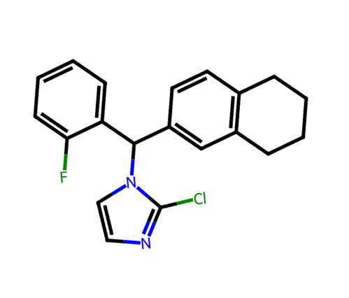 Fc1ccccc1C(c1ccc2c(c1)CCCC2)n1ccnc1Cl